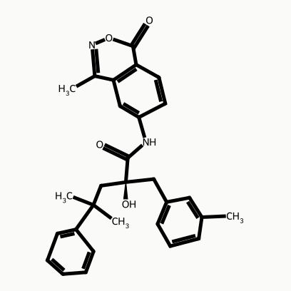 Cc1cccc(C[C@](O)(CC(C)(C)c2ccccc2)C(=O)Nc2ccc3c(=O)onc(C)c3c2)c1